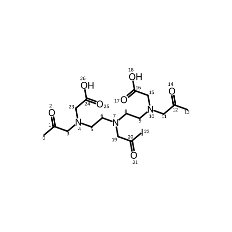 CC(=O)CN(CCN(CCN(CC(C)=O)CC(=O)O)CC(=O)I)CC(=O)O